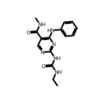 CCNC(=O)Nc1ncc(C(=O)NC)c(Nc2ccccc2)n1